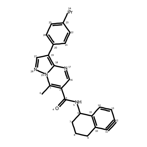 Cc1c(C(=O)NC2CCCc3c#cccc32)cnc2c(-c3ccc(C(C)C)cc3)cnn12